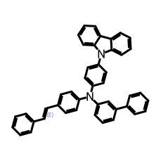 C(=C\c1ccc(N(c2ccc(-n3c4ccccc4c4ccccc43)cc2)c2cccc(-c3ccccc3)c2)cc1)/c1ccccc1